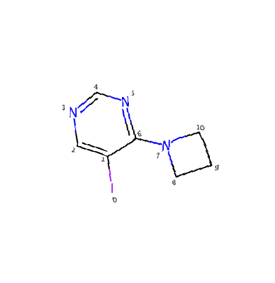 Ic1cncnc1N1CCC1